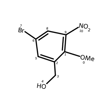 COc1c(CO)cc(Br)cc1[N+](=O)[O-]